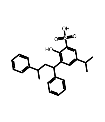 CC(C)c1cc(C(CC(C)c2ccccc2)c2ccccc2)c(O)c(S(=O)(=O)O)c1